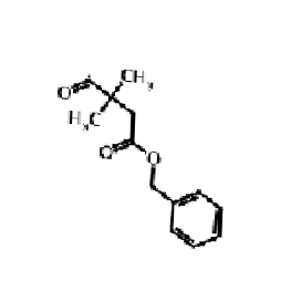 CC(C)([C]=O)CC(=O)OCc1ccccc1